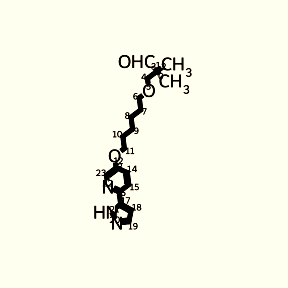 CC(C)(C=O)COCCCCCCOc1ccc(-c2ccn[nH]2)nc1